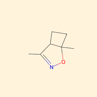 CC1=NOC2(C)CCC12